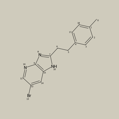 Cc1ccc(CCc2nc3ncc(Br)cc3[nH]2)cc1